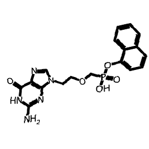 Nc1nc2c(ncn2CCOCP(=O)(O)Oc2cccc3ccccc23)c(=O)[nH]1